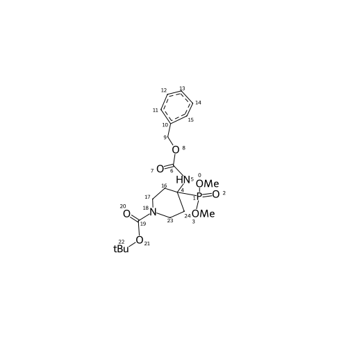 COP(=O)(OC)C1(NC(=O)OCc2ccccc2)CCN(C(=O)OC(C)(C)C)CC1